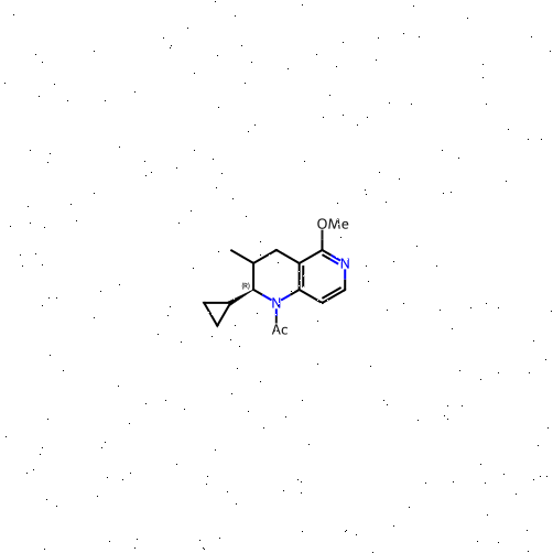 COc1nccc2c1CC(C)[C@H](C1CC1)N2C(C)=O